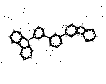 c1cc(-c2cccc(-n3c4ccccc4c4ccccc43)c2)cc(-c2cc3c(cn2)sc2ccccc23)c1